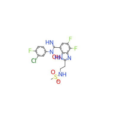 CS(=O)(=O)NCCc1nc2c(F)c(F)cc(C(=N)N(O)c3ccc(F)c(Cl)c3)c2[nH]1